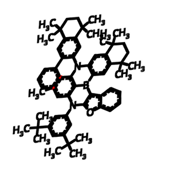 Cc1cc2c3c(c1)N(c1cc(C(C)(C)C)cc(C(C)(C)C)c1)c1oc4ccccc4c1B3c1cc3c(cc1N2c1cc2c(cc1-c1ccccc1)C(C)(C)CCC2(C)C)C(C)(C)CCC3(C)C